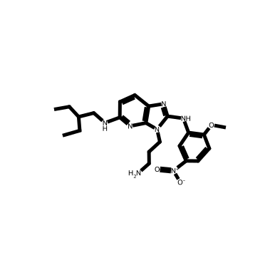 CCC(CC)CNc1ccc2nc(Nc3cc([N+](=O)[O-])ccc3OC)n(CCCN)c2n1